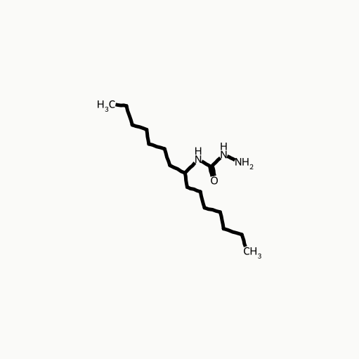 CCCCCCCC(CCCCCCC)NC(=O)NN